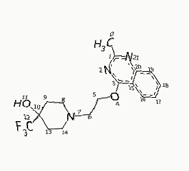 Cc1nc(OCCN2CCC(O)(C(F)(F)F)CC2)c2ccccc2n1